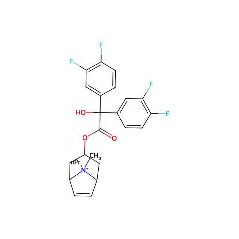 CCC[N+]1(C)C2C=CC1CC(OC(=O)C(O)(c1ccc(F)c(F)c1)c1ccc(F)c(F)c1)C2